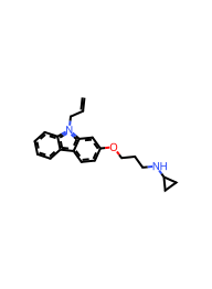 C=CCn1c2ccccc2c2ccc(OCCCNC3CC3)cc21